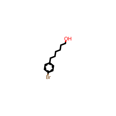 OCCCCCCc1ccc(Br)cc1